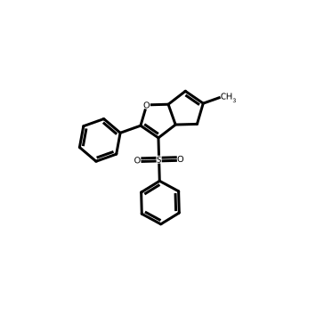 CC1=CC2OC(c3ccccc3)=C(S(=O)(=O)c3ccccc3)C2C1